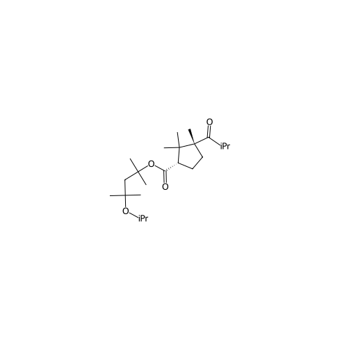 CC(C)OC(C)(C)CC(C)(C)OC(=O)[C@H]1CC[C@@](C)(C(=O)C(C)C)C1(C)C